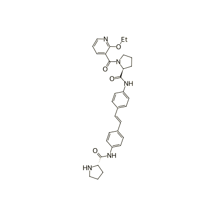 CCOc1ncccc1C(=O)N1CCC[C@H]1C(=O)Nc1ccc(/C=C/c2ccc(NC(=O)[C@@H]3CCCN3)cc2)cc1